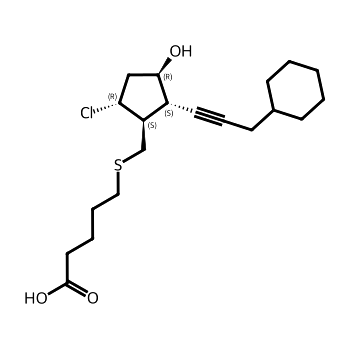 O=C(O)CCCCSC[C@@H]1[C@@H](C#CCC2CCCCC2)[C@H](O)C[C@H]1Cl